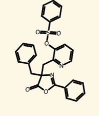 O=C1OC(c2ccccc2)=NC1(Cc1ccccc1)Cc1ncccc1OS(=O)(=O)c1ccccc1